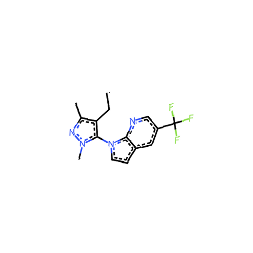 [CH2]Cc1c(C)nn(C)c1-n1ccc2cc(C(F)(F)F)cnc21